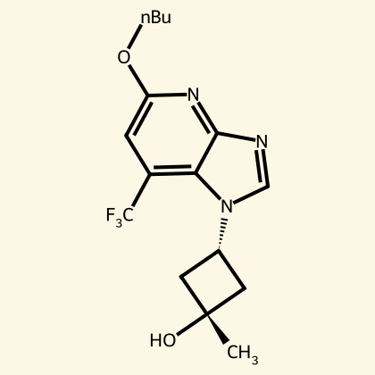 CCCCOc1cc(C(F)(F)F)c2c(ncn2[C@H]2C[C@@](C)(O)C2)n1